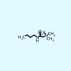 CCCCNC(=O)C[N+](C)(C)C